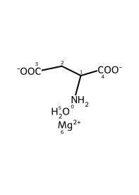 NC(CC(=O)[O-])C(=O)[O-].O.[Mg+2]